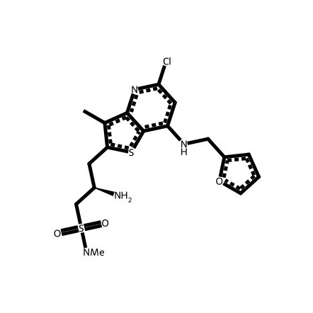 CNS(=O)(=O)C[C@H](N)Cc1sc2c(NCc3ccco3)cc(Cl)nc2c1C